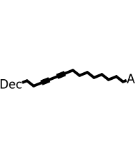 CCCCCCCCCCCCC#CC#CCCCCCCCCC(C)=O